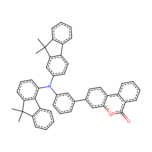 CC1(C)c2ccccc2-c2ccc(N(c3cccc(-c4ccc5c(c4)oc(=O)c4ccccc45)c3)c3cccc4c3-c3ccccc3C4(C)C)cc21